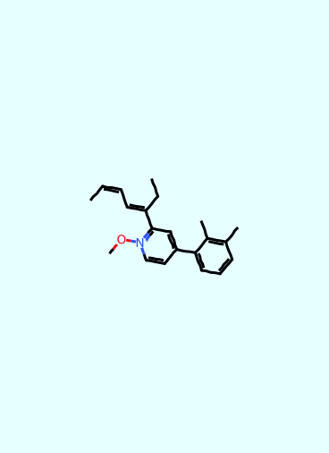 C/C=C\C=C(/CC)c1cc(-c2cccc(C)c2C)cc[n+]1OC